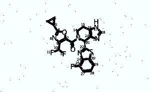 O=C(c1oc(C2CC2)nc1C(F)F)N1CCc2[nH]cnc2[C@H]1c1nc2c(F)cccc2s1